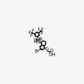 O=C(O)COc1cc(Br)cc2c1CCC[C@H]2NS(=O)(=O)c1cc(C(F)(F)F)cc(C(F)(F)F)c1